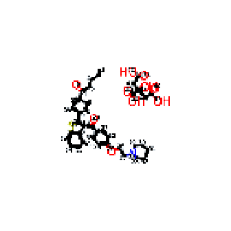 CCCCC(=O)c1ccc(-c2sc3ccccc3c2C(=O)c2ccc(OCCN3CCCCC3)cc2)cc1.O=C(O)CC(O)(CC(=O)O)C(=O)O